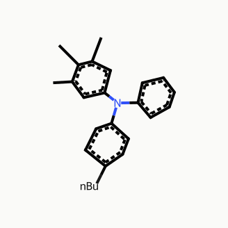 CCCCc1ccc(N(c2ccccc2)c2cc(C)c(C)c(C)c2)cc1